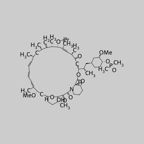 C=C1[C@H](C)C[C@H](C)/C=C/C=C/C=C(\C)[C@@H](OC)C[C@@H]2CC[C@@H](C)[C@@](O)(O2)C(=O)C(=O)N2CCCC[C@H]2C(=O)O[C@H]([C@H](C)C[C@@H]2CC[C@@H](OP(C)(C)=O)[C@H](OC)C2)CC(=O)[C@H](C)/C=C(\C)[C@@H](OC(C)C)[C@H]1C